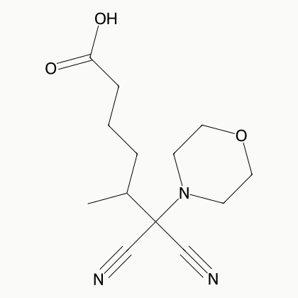 CC(CCCC(=O)O)C(C#N)(C#N)N1CCOCC1